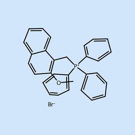 COc1ccc2ccccc2c1C[P+](c1ccccc1)(c1ccccc1)c1ccccc1.[Br-]